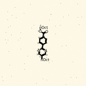 CCCCCCCCOC(=O)c1ccc(-c2ncc(CCCCCCCC)cn2)cc1